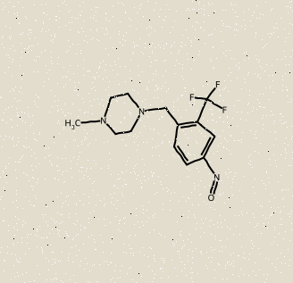 CN1CCN(Cc2ccc(N=O)cc2C(F)(F)F)CC1